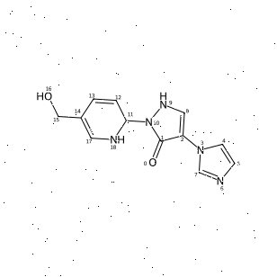 O=c1c(-n2ccnc2)c[nH]n1C1C=CC(CO)=CN1